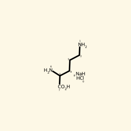 Cl.NCCCC(N)C(=O)O.[NaH]